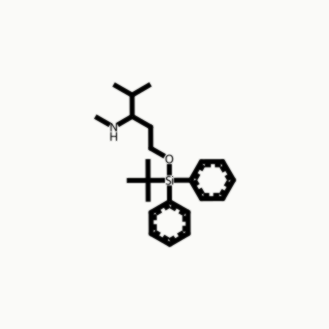 CNC(CCO[Si](c1ccccc1)(c1ccccc1)C(C)(C)C)C(C)C